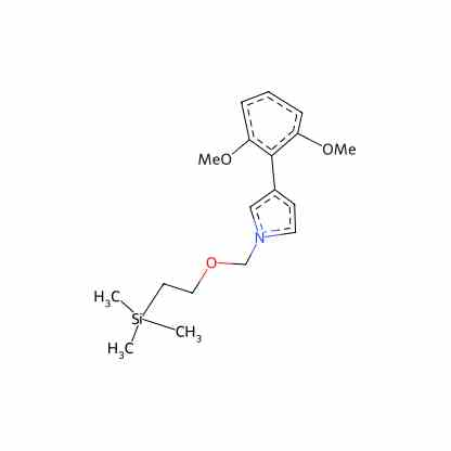 COc1cccc(OC)c1-c1ccn(COCC[Si](C)(C)C)c1